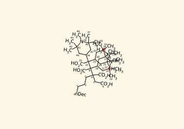 CCCCCCCCCCCCCC(CC(=O)O)(C(=O)O)C(C(=O)O)(C1CC(C)(C)N(C)C(C)(C)C1)C(C(=O)O)(C1CC(C)(C)N(C)C(C)(C)C1)C1CC(C)(C)N(C)C(C)(C)C1